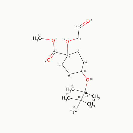 COC(=O)C1(OCC=O)CCC(O[Si](C)(C)C(C)(C)C)CC1